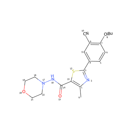 Cc1nc(-c2ccc(OCC(C)C)c(C#N)c2)sc1C(=O)NN1CCOCC1